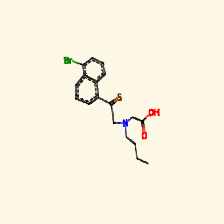 CCCCN(CC(=O)O)CC(=S)c1cccc2c(Br)cccc12